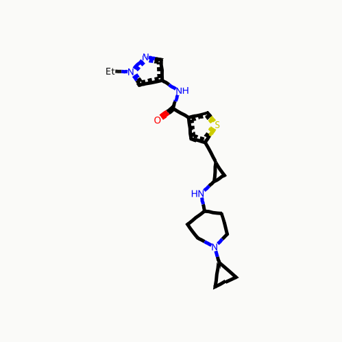 CCn1cc(NC(=O)c2csc(C3CC3NC3CCN(C4CC4)CC3)c2)cn1